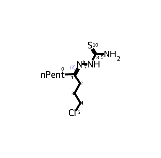 CCCCC/C(CCCCl)=N/NC(N)=S